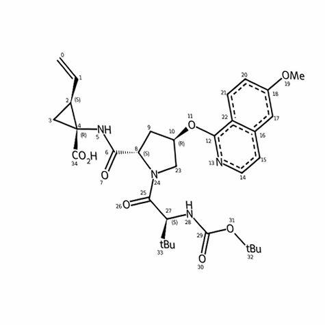 C=C[C@@H]1C[C@]1(NC(=O)[C@@H]1C[C@@H](Oc2nccc3cc(OC)ccc23)CN1C(=O)[C@@H](NC(=O)OC(C)(C)C)C(C)(C)C)C(=O)O